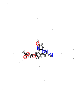 COc1ccc(-n2nc(C#N)cc2-c2ccc(OCCOC(C)=O)cc2)cn1